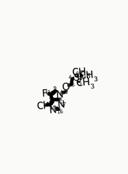 C[Si](C)(C)CCOCn1cc(F)c2c(Cl)ncnc21